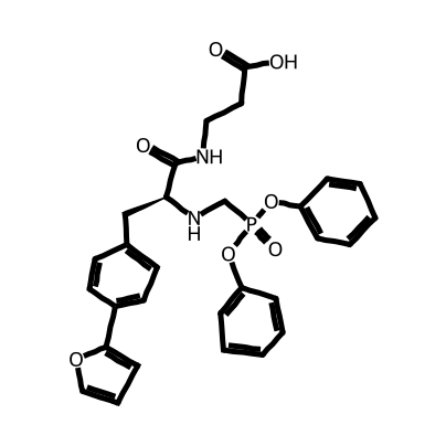 O=C(O)CCNC(=O)[C@H](Cc1ccc(-c2ccco2)cc1)NCP(=O)(Oc1ccccc1)Oc1ccccc1